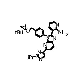 CC(C)n1ncc(-c2ccc3nc(-c4cccnc4N)n(-c4ccc(CO[Si](C)(C)C(C)(C)C)cc4)c3n2)n1